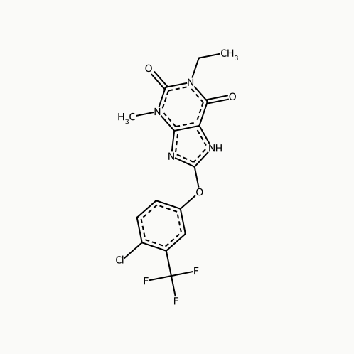 CCn1c(=O)c2[nH]c(Oc3ccc(Cl)c(C(F)(F)F)c3)nc2n(C)c1=O